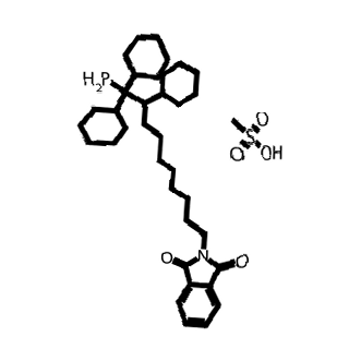 CS(=O)(=O)O.O=C1c2ccccc2C(=O)N1CCCCCCCCC(C1CCCCC1)C(P)(C1CCCCC1)C1CCCCC1